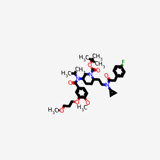 COCCCOc1cc(C(=O)N(C(C)C)C2CCC(CCN(C(=O)Cc3ccc(F)cc3)C3CC3)N(C(=O)OC(C)(C)C)C2)ccc1OC